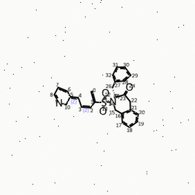 C=C(/C=C\C=C1\C=CC=NC1)S(=O)(=O)N1Cc2ccccc2CC(=O)[C@H]1Cc1ccccc1